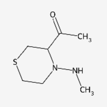 CNN1CCSCC1C(C)=O